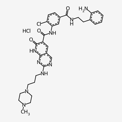 CN1CCN(CCCNc2ncc3cc(C(=O)Nc4cc(C(=O)NCCc5ccccc5N)ccc4Cl)c(=O)[nH]c3n2)CC1.Cl